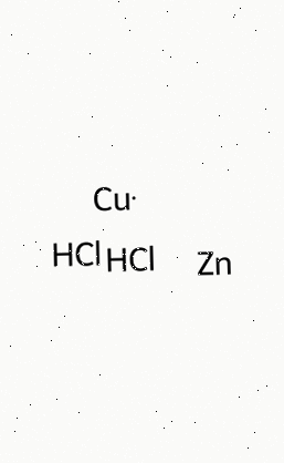 Cl.Cl.[Cu].[Zn]